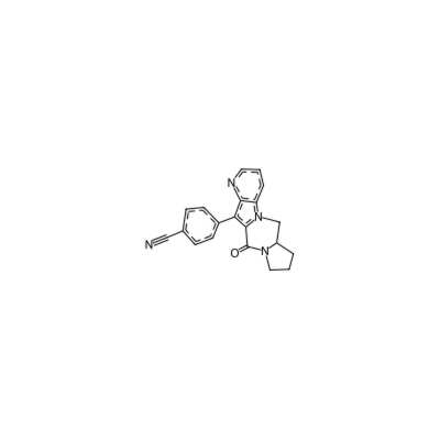 N#Cc1ccc(-c2c3n(c4cccnc24)CC2CCCN2C3=O)cc1